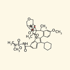 COc1ccc2c(c1)C(C)C(C)(C(=O)N1C3COCC1CN(C(C)=O)C3)Cn1c-2c(C2CCCCC2)c2ccc(C(=O)NS(=O)(=O)N(C)C)cc21